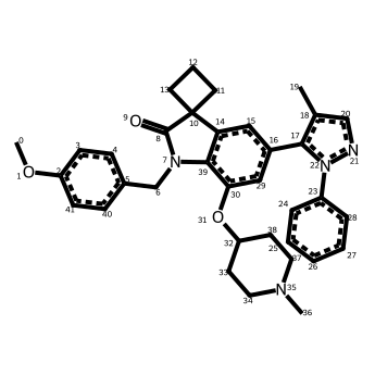 COc1ccc(CN2C(=O)C3(CCC3)c3cc(-c4c(C)cnn4-c4ccccc4)cc(OC4CCN(C)CC4)c32)cc1